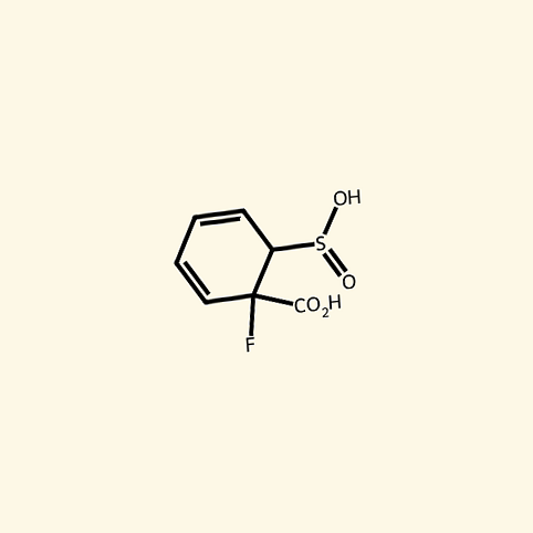 O=C(O)C1(F)C=CC=CC1S(=O)O